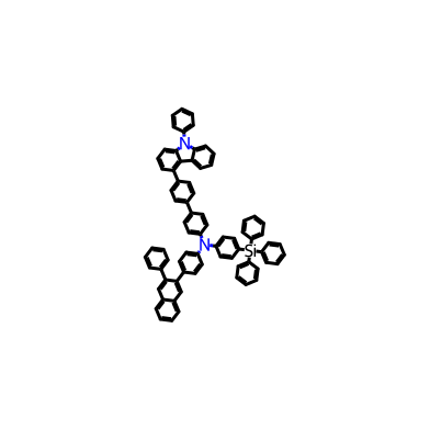 c1ccc(-c2cc3ccccc3cc2-c2ccc(N(c3ccc(-c4ccc(-c5cccc6c5c5ccccc5n6-c5ccccc5)cc4)cc3)c3ccc([Si](c4ccccc4)(c4ccccc4)c4ccccc4)cc3)cc2)cc1